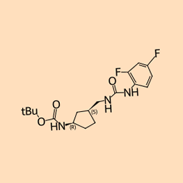 CC(C)(C)OC(=O)N[C@@H]1CC[C@H](CNC(=O)Nc2ccc(F)cc2F)C1